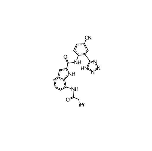 CC(C)CC(=O)Nc1cccc2cc(C(=O)Nc3ccc(C#N)cc3-c3nnn[nH]3)[nH]c12